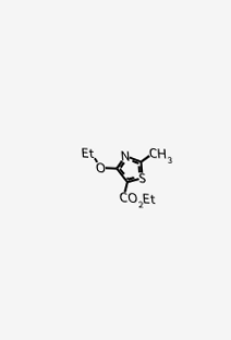 CCOC(=O)c1sc(C)nc1OCC